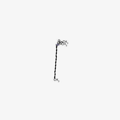 CC#CC#CC#CC#CC#CC#CC#CC#CC#CC#CC#C/N=N/OS(=O)(=O)CC(C)C